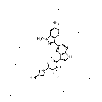 C[C@@H](NC(=O)c1c[nH]c2ncc(-c3nn(C)c4cc(N)ccc34)nc12)C(=O)N1CC(N)C1